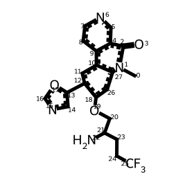 Cn1c(=O)c2cnccc2c2cc(-c3cnco3)c(OCC(N)CCC(F)(F)F)cc21